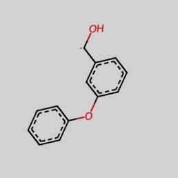 O[CH]c1cccc(Oc2ccccc2)c1